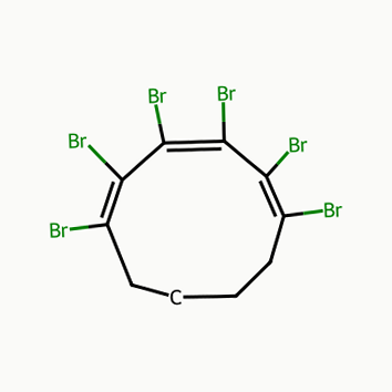 BrC1=C(Br)C(Br)=C(Br)C(Br)=C(Br)CCCC1